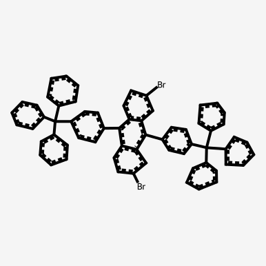 Brc1ccc2c(-c3ccc(C(c4ccccc4)(c4ccccc4)c4ccccc4)cc3)c3ccc(Br)cc3c(-c3ccc(C(c4ccccc4)(c4ccccc4)c4ccccc4)cc3)c2c1